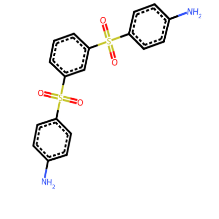 Nc1ccc(S(=O)(=O)c2cccc(S(=O)(=O)c3ccc(N)cc3)c2)cc1